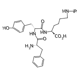 CC(C)NCCCC[C@H](NC(=O)[C@@H](Cc1ccc(O)cc1)NC(=O)[C@@H](N)Cc1ccccc1)C(=O)O